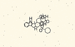 CC1(C)O[C@@]23CC[C@]4(C)[C@@]5(C)c6[nH]c7ccccc7c6C[C@@H]5C[C@H](OC(=O)C5CCCCCC5)[C@@]4(O)C2=CC(=O)[C@@H]1O3